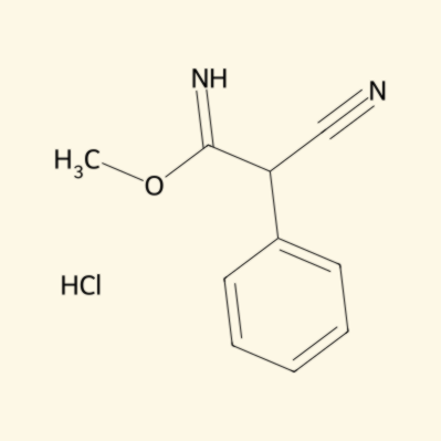 COC(=N)C(C#N)c1ccccc1.Cl